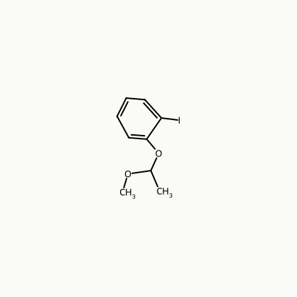 COC(C)Oc1ccccc1I